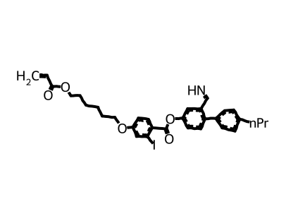 C=CC(=O)OCCCCCCOc1ccc(C(=O)Oc2ccc(-c3ccc(CCC)cc3)c(C=N)c2)c(I)c1